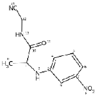 CC(Nc1cccc([N+](=O)[O-])c1)C(=O)NCC#N